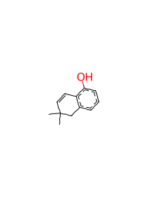 CC1(C)C=Cc2c(O)cccc2C1